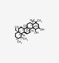 C[C@H]1[C@H](C)CC[C@]2(CC(=O)O)CC[C@]3(C)C(=CC[C@@H]4[C@@]5(C)C(O)C(O)CC(C)(C)[C@@H]5CC[C@]43C)[C@H]12